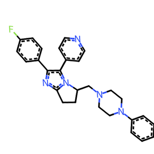 Fc1ccc(-c2nc3n(c2-c2ccncc2)C(CN2CCN(c4ccccc4)CC2)CC3)cc1